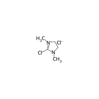 CN1CC[N+](C)=C1Cl.[Cl-]